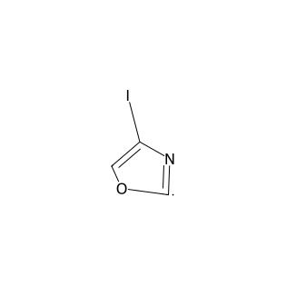 Ic1co[c]n1